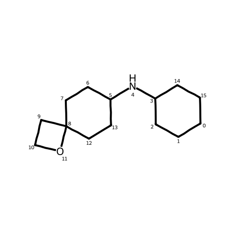 C1CCC(NC2CCC3(CCO3)CC2)CC1